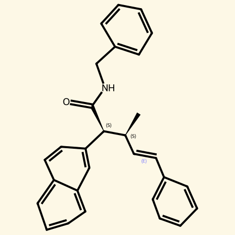 C[C@@H](/C=C/c1ccccc1)[C@H](C(=O)NCc1ccccc1)c1ccc2ccccc2c1